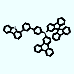 c1cc(-c2ccc(N(c3ccc4c(c3)C3(c5ccccc5-c5ccccc53)c3ccccc3-4)c3ccc4c5ccccc5c5ccccc5c4c3)cc2)cc(-c2cccc3c2sc2ccccc23)c1